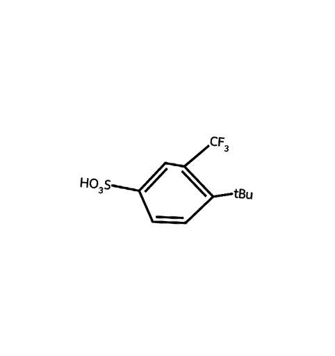 CC(C)(C)c1ccc(S(=O)(=O)O)cc1C(F)(F)F